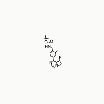 Cc1cc(-c2ncnn3ccc(F)c23)ccc1CNC(=O)OC(C)(C)C